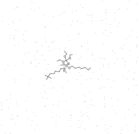 CCCCCCCO[Si](OC)(OC(OCC)(OCC)OCC)[SiH2]CCCCCC(C)(C)C